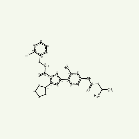 CC(C)CC(=O)Nc1ccc(-c2cc(C3CCCC3)n(C(=O)NCc3ccccc3F)n2)c(O)c1